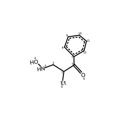 CCC(CNO)C(=O)c1ccccc1